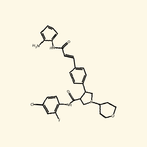 Nc1ccccc1NC(=O)/C=C/c1ccc(C2CN(C3CCOCC3)CC2C(=O)Nc2ccc(Cl)cc2F)cc1